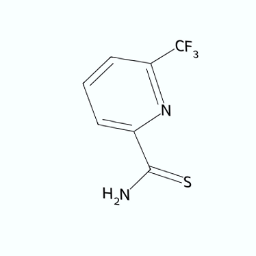 NC(=S)c1cccc(C(F)(F)F)n1